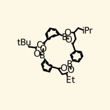 CCC1CC2OB(O1)c1cccc(c1)C1CC(CC(C)C)OB(O1)c1cccc(c1)C1CC(CC(C)(C)C)OB(O1)c1cccc2c1